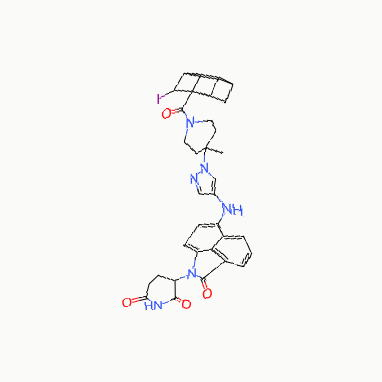 CC1(n2cc(Nc3ccc4c5c(cccc35)C(=O)N4C3CCC(=O)NC3=O)cn2)CCN(C(=O)C23C(I)C4C5CC2C5C43)CC1